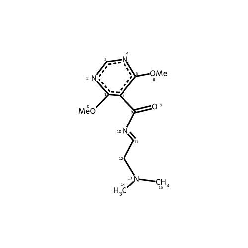 COc1ncnc(OC)c1C(=O)N=CCN(C)C